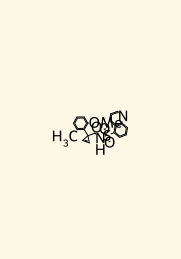 COc1cccc(C)c1C1(C(=O)NS(=O)(=O)c2cccc3ncccc23)C=C1